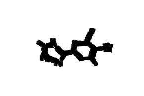 Cc1cc(-c2nnn(C)n2)cc(C)c1Br